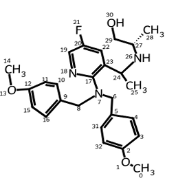 COc1ccc(CN(Cc2ccc(OC)cc2)c2ncc(F)cc2C(C)N[C@@H](C)CO)cc1